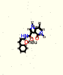 CCCCOC1CCCCC1/C=C\CNC(=O)c1cn(C)c2c(C)cn(C)c(=O)c12